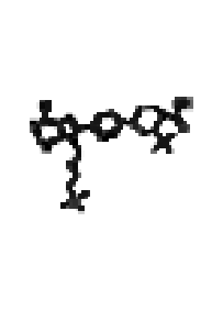 CC(C)(C)C1CN(c2ccc(-c3cc4c(Cl)ncnc4n3COCC[Si](C)(C)C)nc2)CCN1C(=O)O